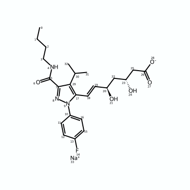 CCCCNC(=O)c1nn(-c2ccc(F)cc2)c(C=C[C@H](O)C[C@@H](O)CC(=O)[O-])c1C(C)C.[Na+]